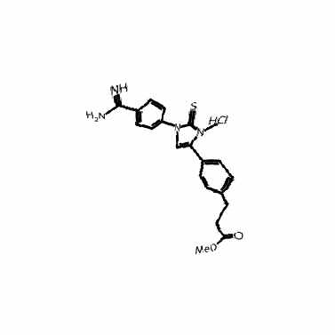 COC(=O)CCc1ccc(-c2cn(-c3ccc(C(=N)N)cc3)c(=S)n2C)cc1.Cl